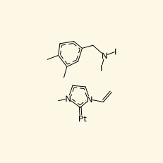 C=Cn1ccn(C)[c]1=[Pt].Cc1ccc(CN(I)I)cc1C